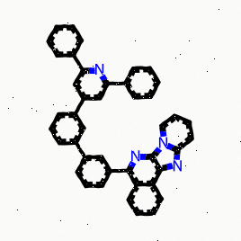 c1ccc(-c2cc(-c3cccc(-c4cccc(-c5nc6c(nc7ccccn76)c6ccccc56)c4)c3)cc(-c3ccccc3)n2)cc1